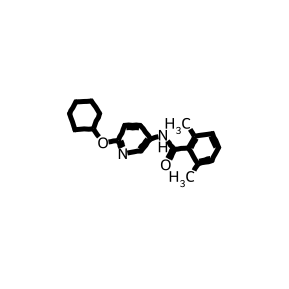 Cc1cccc(C)c1C(=O)Nc1ccc(OC2CCCCC2)nc1